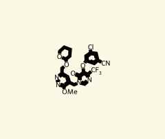 COc1nnc(COC2CCCCO2)cc1Cn1cnc(C(F)(F)F)c(Oc2cc(Cl)cc(C#N)c2)c1=O